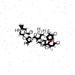 CC(C)C1=C(C(=O)N2CC(F)(F)C[C@@H]2C(=O)N2CC3(CC3)NC[C@@H]2C)SC2=N[C@@](C)(c3ccc(Cl)nc3)[C@@H](c3ccc(Cl)c(F)c3)N21